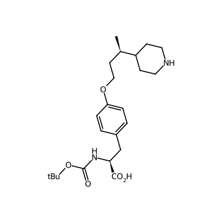 C[C@H](CCOc1ccc(C[C@H](NC(=O)OC(C)(C)C)C(=O)O)cc1)C1CCNCC1